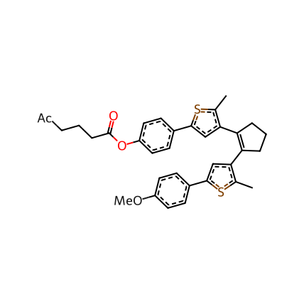 COc1ccc(-c2cc(C3=C(c4cc(-c5ccc(OC(=O)CCCC(C)=O)cc5)sc4C)CCC3)c(C)s2)cc1